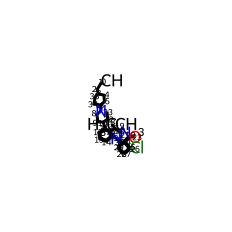 C#CCC1CCC(N2CCC(c3cccc4c3C(C)(C)c3nc(=O)c5c(Cl)cccc5n3-4)CC2)CC1